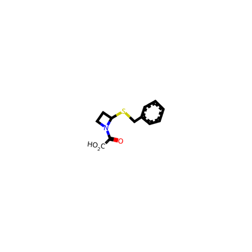 O=C(O)C(=O)N1CCC1SCc1ccccc1